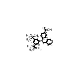 CC(C)(C)c1cc(N(Cc2ccncc2)c2ccc(C(=O)O)cn2)cc(C(C)(C)C)c1